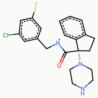 CN(Cc1cc(F)cc(Cl)c1)C(=O)[C@]1(N2CCNCC2)CCc2ccccc21